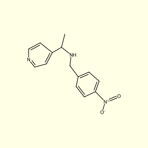 CC(NCc1ccc([N+](=O)[O-])cc1)c1ccncc1